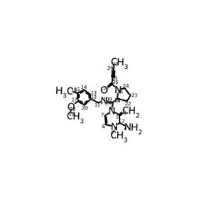 C=C1C(N)N(C)C=CN1/C(=N\Cc1ccc(C)c(OC)c1)[C@@H]1CCCN1C(=O)C#CC